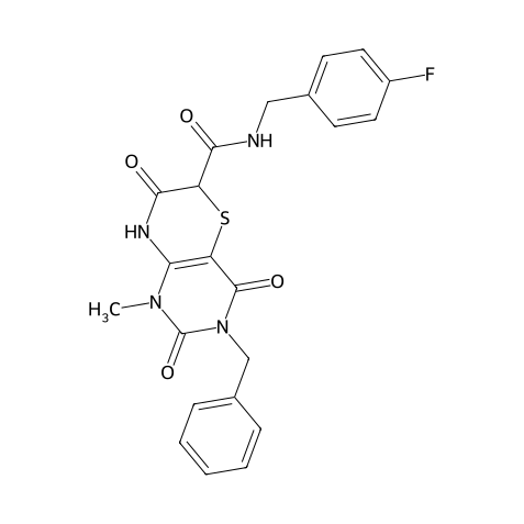 Cn1c2c(c(=O)n(Cc3ccccc3)c1=O)SC(C(=O)NCc1ccc(F)cc1)C(=O)N2